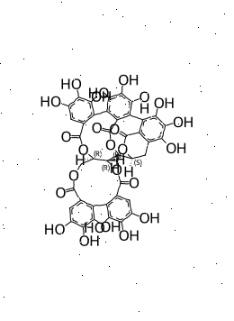 O=C1OC[C@H]2OC(=O)c3cc(O)c(O)c(O)c3-c3c(O)c(O)c(O)c4c3C(=O)O[C@@H]([C@@H]2OC(=O)c2cc(O)c(O)c(O)c2-c2c1cc(O)c(O)c2O)[C@@H]1Cc2c(O)c(O)c(O)c-4c2C(=O)O1